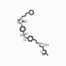 Cc1cc(C(O)CNCCc2ccc(NS(=O)(=O)c3ccc(-n4nnn(CCCC5CCCC5)c4=O)cc3)cc2)on1